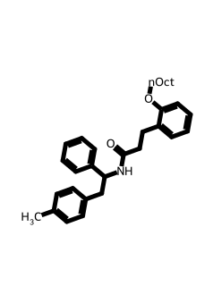 CCCCCCCCOc1ccccc1CCC(=O)NC(Cc1ccc(C)cc1)c1ccccc1